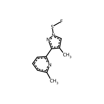 Cc1cccc(-c2nn(SF)cc2C)n1